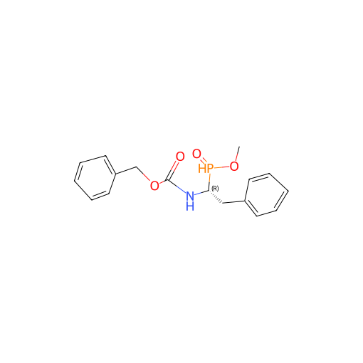 CO[PH](=O)[C@H](Cc1ccccc1)NC(=O)OCc1ccccc1